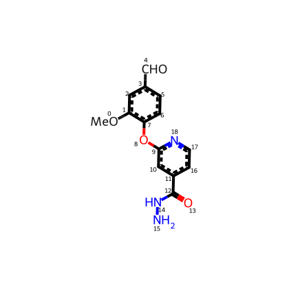 COc1cc(C=O)ccc1Oc1cc(C(=O)NN)ccn1